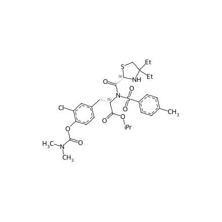 CCC1(CC)CS[C@@H](C(=O)N([C@@H](Cc2ccc(OC(=O)N(C)C)c(Cl)c2)C(=O)OC(C)C)S(=O)(=O)c2ccc(C)cc2)N1